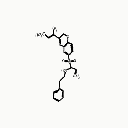 C=CC(NCCc1ccccc1)S(=O)(=O)c1ccc2c(c1)C=C(C(CC(=O)O)C(F)(F)F)CO2